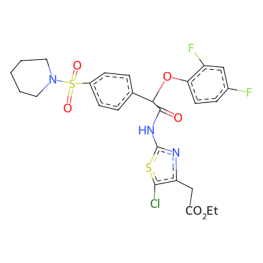 CCOC(=O)Cc1nc(NC(=O)C(Oc2ccc(F)cc2F)c2ccc(S(=O)(=O)N3CCCCC3)cc2)sc1Cl